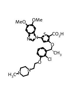 COc1cc2ncn(-c3cc(O[C@H](C)c4cccc(OCCN5CCN(C)CC5)c4Cl)c(C(=O)O)s3)c2cc1OC